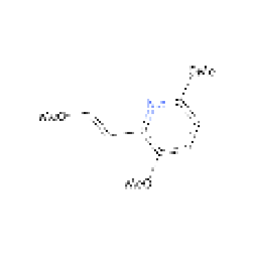 CO/C=C/c1nc(OC)ccc1OC